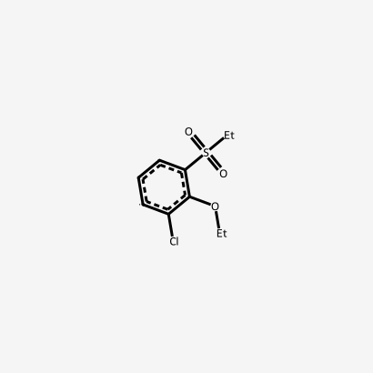 CCOc1c(Cl)[c]ccc1S(=O)(=O)CC